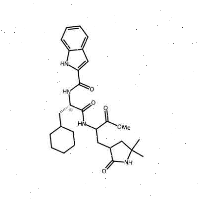 COC(=O)C(CC1CC(C)(C)NC1=O)NC(=O)[C@H](CC1CCCCC1)NC(=O)c1cc2ccccc2[nH]1